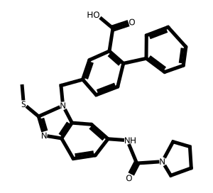 CSc1nc2ccc(NC(=O)N3CCCC3)cc2n1Cc1ccc(-c2ccccc2)c(C(=O)O)c1